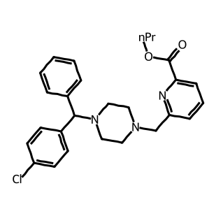 CCCOC(=O)c1cccc(CN2CCN(C(c3ccccc3)c3ccc(Cl)cc3)CC2)n1